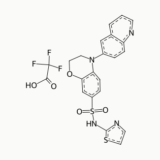 O=C(O)C(F)(F)F.O=S(=O)(Nc1nccs1)c1ccc2c(c1)OCCN2c1ccc2ncccc2c1